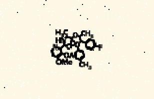 COc1ccnc(C(=O)N[C@@H](C)C(=O)O[C@@H](C)[C@H](Oc2ccc(C)cc2)c2ccc(F)cc2)c1OC(C)=O